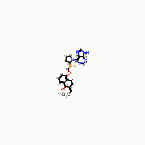 O=C(O)/C=C1/CCc2c(OCPC3CCCN3c3ncnc4[nH]cnc34)cccc2C1=O